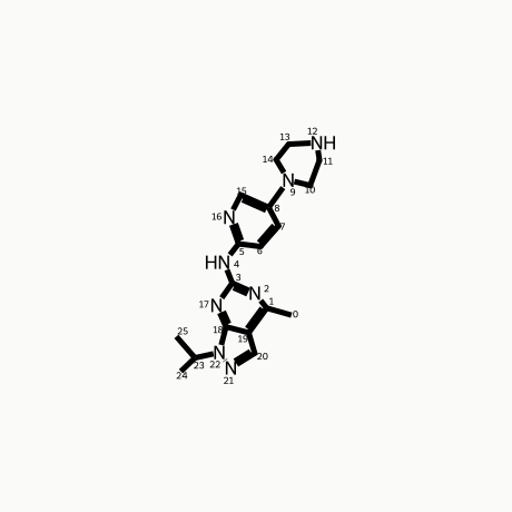 Cc1nc(Nc2ccc(N3CCNCC3)cn2)nc2c1cnn2C(C)C